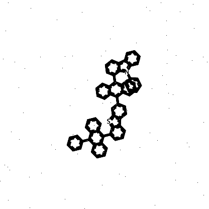 c1ccc(-c2c3ccccc3c(-c3cccc4c3sc3cc(-c5c6ccccc6c(-c6cccc7c8ccccc8n(-c8ccccc8)c67)c6ccccc56)ccc34)c3ccccc23)cc1